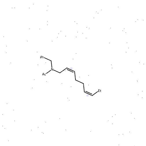 CC/C=C\CC/C=C\CN(CC(C)C)C(C)=O